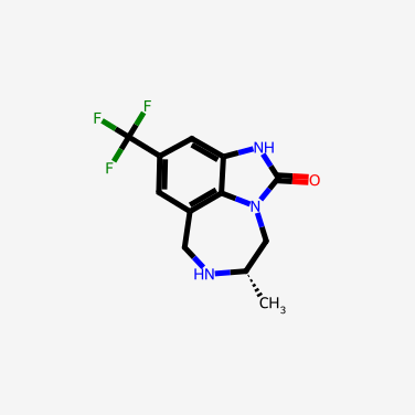 C[C@H]1Cn2c(=O)[nH]c3cc(C(F)(F)F)cc(c32)CN1